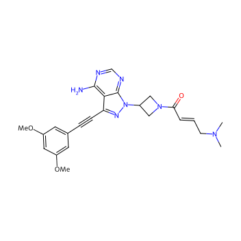 COc1cc(C#Cc2nn(C3CN(C(=O)C=CCN(C)C)C3)c3ncnc(N)c23)cc(OC)c1